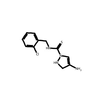 NC1=CN(C(=S)NCc2ccccc2Cl)NC1